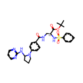 CC(C)(C)OC(=O)[C@H](CNC(=O)c1ccc(N2CCCC2Nc2ncccn2)cc1)NS(=O)(=O)c1ccccc1